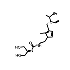 C=C[C@H](CC1=C(C)C(CCNC(=O)N=C(CO)CO)C=C1)C(C)C(C)C